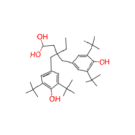 CCC(Cc1cc(C(C)(C)C)c(O)c(C(C)(C)C)c1)(Cc1cc(C(C)(C)C)c(O)c(C(C)(C)C)c1)CC(O)O